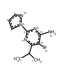 CC(C)c1nc(-n2cccn2)nc(N)c1Br